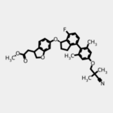 COC(=O)CC1COc2cc(O[C@@H]3CCc4c(-c5c(C)cc(OCC(C)(C)C#N)cc5C)ccc(F)c43)ccc21